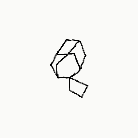 C1CC2(C1)C1CC3CC(C1)CC2C3